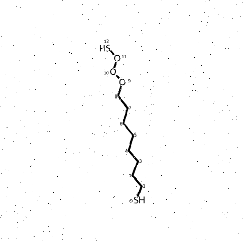 SCCCCCCCCOOOS